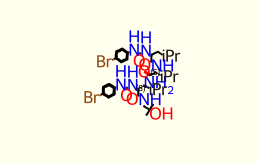 CC(C)CC(NC(=O)Nc1ccc(Br)cc1)C(=O)N[C@H](C(N)=O)C(C)C.CC(C)C[C@H](NC(=O)Nc1ccc(Br)cc1)C(=O)NCC(C)(C)O